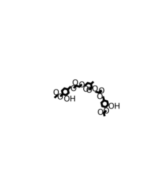 CC(=O)OC1CCC(COC(=O)COC(=O)CC(C)C(=O)OCC(=O)OCC2CCC(OC(C)=O)C(O)C2)CC1O